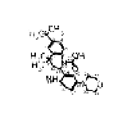 CC(C)c1ccc2c(c1)C(C)(C)CC(c1cccc(N3CCOCC3)c1)N2C(=O)O.N